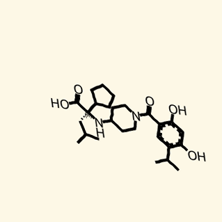 CC(C)C[C@](NC1CCN(C(=O)c2cc(C(C)C)c(O)cc2O)CC1)(C(=O)O)C1CCCC1